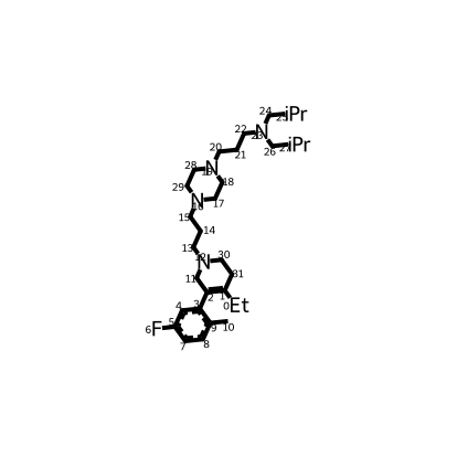 CCC1=C(c2cc(F)ccc2C)CN(CCCN2CCN(CCCN(CC(C)C)CC(C)C)CC2)CC1